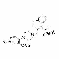 CCCCCC(=O)N1c2ccccc2CCC1CN1CCN(c2ccc(F)cc2OC)CC1